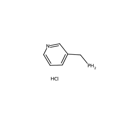 Cl.PCc1cccnc1